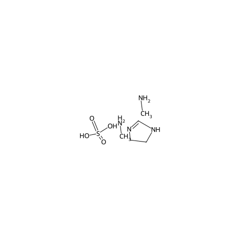 C1=NCCN1.CN.CN.O=S(=O)(O)O